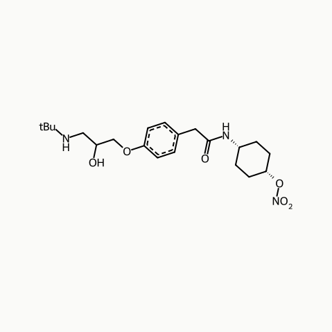 CC(C)(C)NCC(O)COc1ccc(CC(=O)N[C@H]2CC[C@@H](O[N+](=O)[O-])CC2)cc1